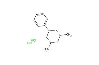 CN1CC(N)CC(c2ccccc2)C1.Cl.Cl